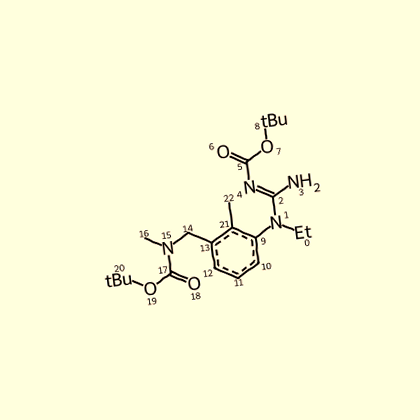 CCN(C(N)=NC(=O)OC(C)(C)C)c1cccc(CN(C)C(=O)OC(C)(C)C)c1C